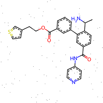 CC(N)c1ccc(C(=O)Nc2ccncc2)cc1-c1cccc(C(=O)OCCc2ccsc2)c1